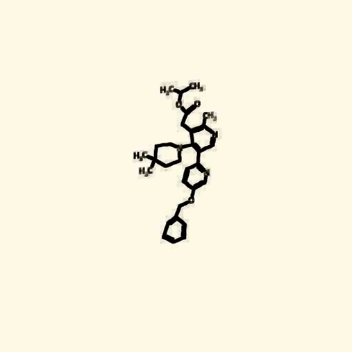 Cc1ncc(-c2ccc(OCc3ccccc3)cn2)c(N2CCC(C)(C)CC2)c1CC(=O)OC(C)C